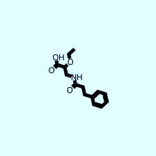 CCOC(CNC(=O)CCc1ccccc1)C(=O)O